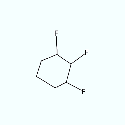 FC1[CH]CCC(F)C1F